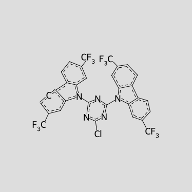 FC(F)(F)c1ccc2c3ccc(C(F)(F)F)cc3n(-c3nc(Cl)nc(-n4c5cc(C(F)(F)F)ccc5c5ccc(C(F)(F)F)cc54)n3)c2c1